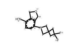 Nc1ccc(N2CC3(C2)CC(F)(F)C3)c2c1COC2